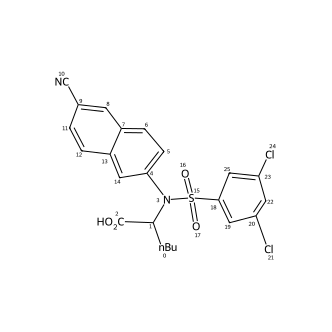 CCCCC(C(=O)O)N(c1ccc2cc(C#N)ccc2c1)S(=O)(=O)c1cc(Cl)cc(Cl)c1